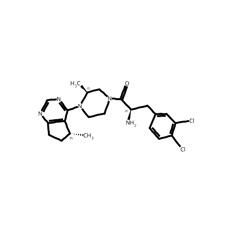 C[C@@H]1CCc2ncnc(N3CCN(C(=O)[C@H](N)Cc4ccc(Cl)c(Cl)c4)C[C@@H]3C)c21